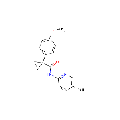 COc1ccc(C2(C(=O)Nc3ccc(C)cn3)CC2)cc1